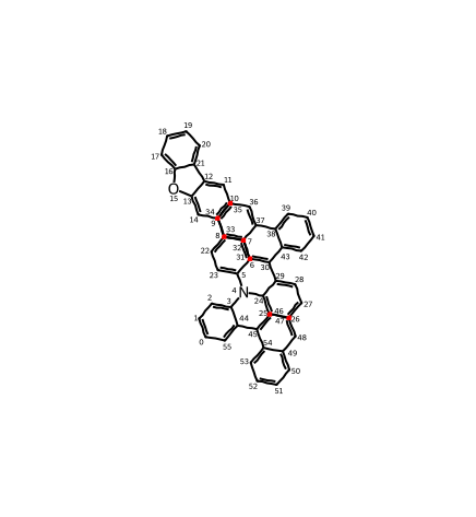 c1ccc(N(c2ccc(-c3ccc4c(c3)oc3ccccc34)cc2)c2ccccc2-c2cc3ccccc3c3ccccc23)c(-c2cccc3ccccc23)c1